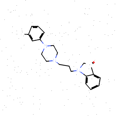 O=[Se]1CN(CCCN2CCN(c3cccc(C(F)(F)F)c3)CC2)c2ccccc21